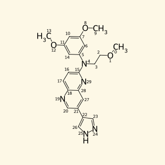 COCCN(c1cc(OC)cc(OC)c1)c1ccc2ncc(-c3cn[nH]c3)cc2n1